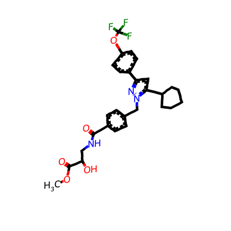 COC(=O)C(O)CNC(=O)c1ccc(Cn2nc(-c3ccc(OC(F)(F)F)cc3)cc2C2CCCCC2)cc1